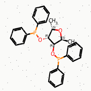 C[C@@H]1O[C@@H](C)[C@@H](OP(c2ccccc2)c2ccccc2)[C@@H]1OP(c1ccccc1)c1ccccc1